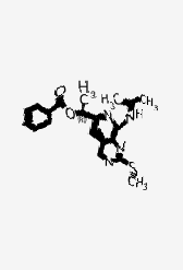 CSc1ncc2cc([C@@H](C)OC(=O)c3ccccc3)nc(NC(C)C)c2n1